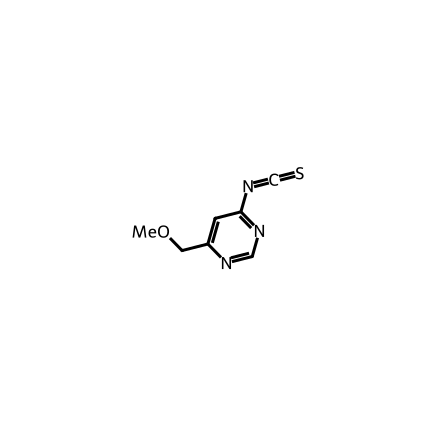 COCc1cc(N=C=S)ncn1